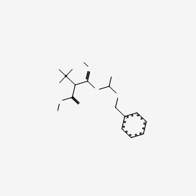 CNC(=O)C(C(=NO)SC(C)SCc1ccccc1)C(C)(C)C